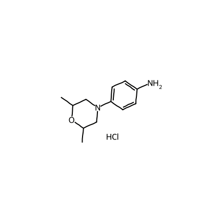 CC1CN(c2ccc(N)cc2)CC(C)O1.Cl